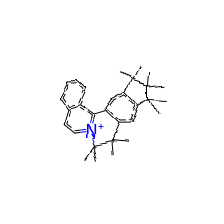 CC1(C)c2cc3c(cc2-c2c4ccccc4cc[n+]2C1(C)C)C(C)(C)C(C)(C)C3(C)C